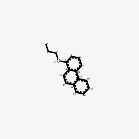 CCCOc1cccc2c1ccc1ccccc12